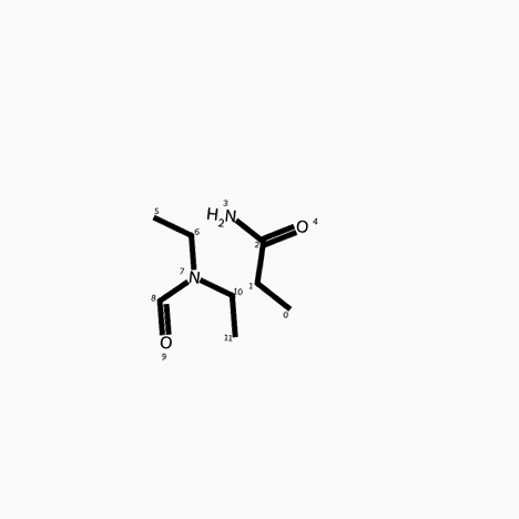 CCC(N)=O.CCN(C=O)CC